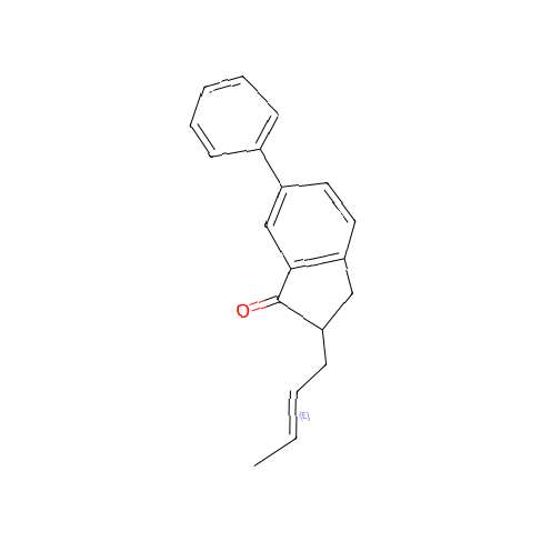 C/C=C/CC1Cc2ccc(-c3ccccc3)cc2C1=O